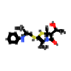 CC(O)[C@H]1C(=O)N2C(C(=O)O)=C(SC[C@@H](Nc3ccccc3)C(=O)O)S[C@H]12